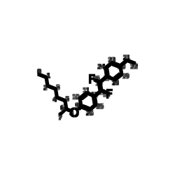 CCCCCC[C@H](C)Oc1ccc(/C(F)=C(\F)c2ccc(CC)cc2)cc1